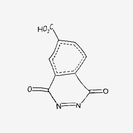 O=C(O)c1ccc2c(c1)C(=O)N=NC2=O